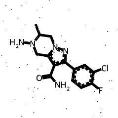 CC1Cn2nc(-c3ccc(F)c(Cl)c3)c(C(N)=O)c2CN1N